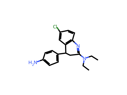 CCN(CC)C1=Nc2ccc(Cl)cc2C(c2ccc(N)cc2)C1